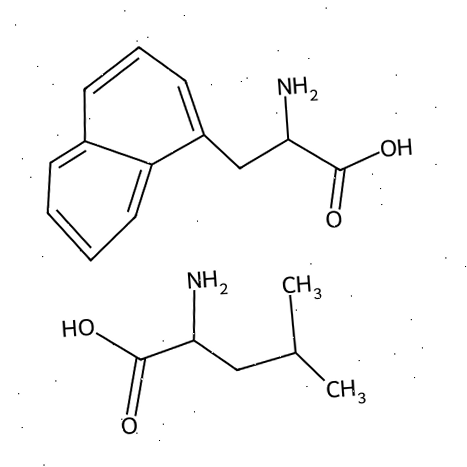 CC(C)CC(N)C(=O)O.NC(Cc1cccc2ccccc12)C(=O)O